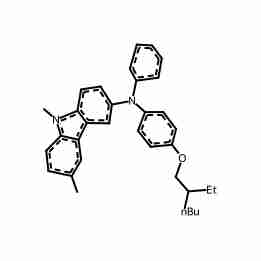 CCCCC(CC)COc1ccc(N(c2ccccc2)c2ccc3c(c2)c2cc(C)ccc2n3C)cc1